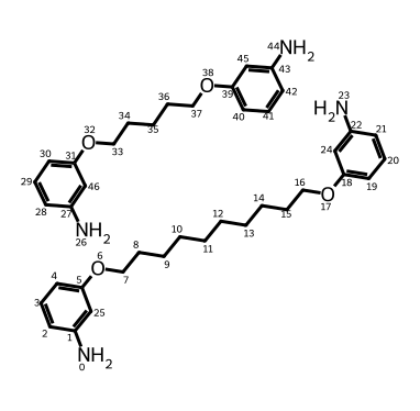 Nc1cccc(OCCCCCCCCCCOc2cccc(N)c2)c1.Nc1cccc(OCCCCCOc2cccc(N)c2)c1